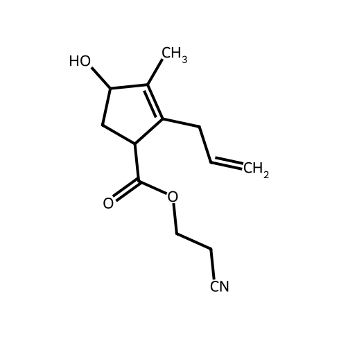 C=CCC1=C(C)C(O)CC1C(=O)OCCC#N